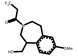 COc1ccc2c(c1)CCN(C(=O)CC(F)(F)F)CC2CO